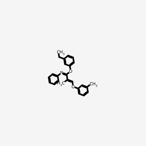 CCc1cccc(OC(=Nc2ccccc2)C(C)=COc2cccc(C)c2)c1